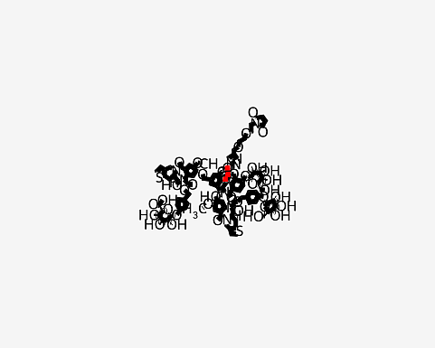 COc1cc2c(cc1OCc1cc(COc3cc4c(cc3OC)C(=O)N3Cc5ccsc5C[C@H]3C(O)N4C(=O)OCc3ccc(O[C@@H]4O[C@H](CO)[C@H](O)[C@H](O)[C@H]4O)cc3)cc(OS(=O)(=O)Oc3cc(C(=O)N(C)CCOCCn4cc(COCCOCCN5C(=O)C=CC5=O)nn4)ccc3O[C@@H]3O[C@H](CO)[C@H](O)[C@H](O)[C@H]3O)c1)N(C(=O)OCc1ccc(O[C@@H]3O[C@H](C(=O)O)[C@H](O)[C@H](O)[C@H]3O)cc1)C(O)[C@@H]1Cc3sccc3CN1C2=O